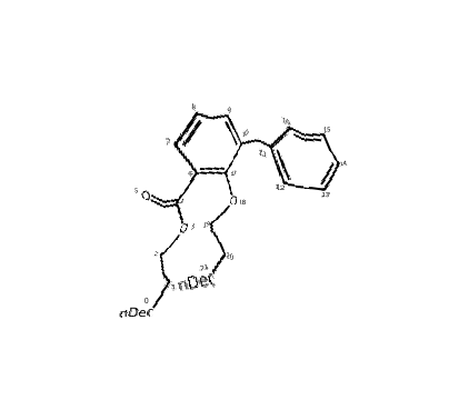 CCCCCCCCCCCCOC(=O)c1cccc(-c2ccccc2)c1OCCCCCCCCCCCC